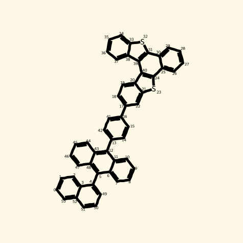 c1ccc2c(-c3c4ccccc4c(-c4ccc(-c5ccc6c(c5)sc5c7ccccc7c7sc8ccccc8c7c65)cc4)c4ccccc34)cccc2c1